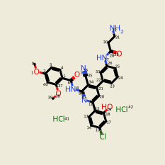 COc1ccc(C(=O)Nc2nc(-c3ccc(Cl)cc3O)cc(-c3cccc(NC(=O)CCN)c3)c2C#N)c(OC)c1.Cl.Cl